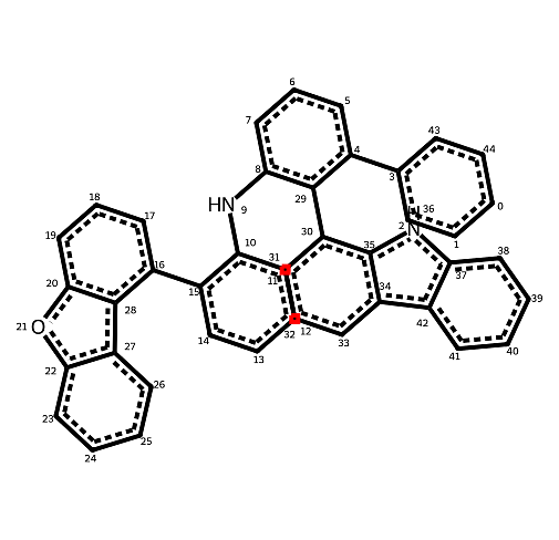 c1ccc(-c2cccc(Nc3ccccc3-c3cccc4oc5ccccc5c34)c2-c2cccc3c2[nH]c2ccccc23)cc1